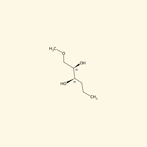 CCC[C@@H](O)[C@H](O)COC